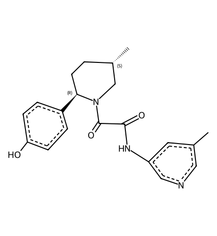 Cc1cncc(NC(=O)C(=O)N2C[C@@H](C)CC[C@@H]2c2ccc(O)cc2)c1